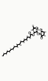 CCCCCCCCCCCCCCCCCC(=O)O[C@@H](CC(C)=O)C(=O)ON1C(=O)CCC1=O